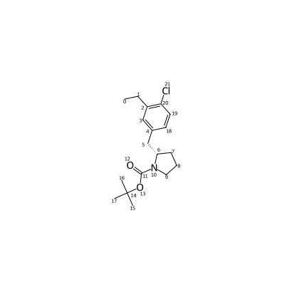 CCc1cc(C[C@@H]2CCCN2C(=O)OC(C)(C)C)ccc1Cl